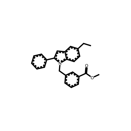 CCc1ccc2c(c1)cc(-c1ccccc1)n2Cc1cccc(C(=O)OC)c1